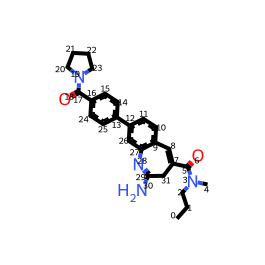 CCCN(C)C(=O)C1=Cc2ccc(-c3ccc(C(=O)N4CCCC4)cc3)cc2N=C(N)C1